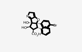 O=C(O)[C@H]1[C@@H](O)[C@@]2(O)C3=NCC=C3O[C@@]2(c2ccc(Br)cc2)[C@@H]1c1ccccc1